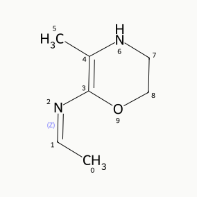 C/C=N\C1=C(C)NCCO1